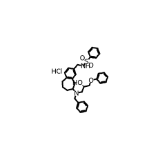 Cl.O=S(=O)(NCc1ccc2c(c1)CC(N(Cc1ccccc1)C[C@H](O)COc1ccccc1)CCC2)c1ccccc1